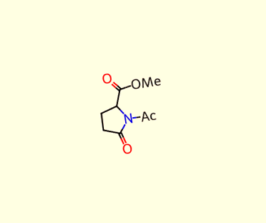 COC(=O)C1CCC(=O)N1C(C)=O